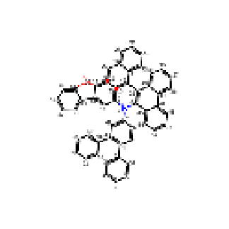 c1ccc(-c2ccc(N(c3ccc4oc5ccccc5c4c3)c3c(-c4cccc5ccccc45)c4ccccc4c4ccccc34)cc2-c2ccccc2)cc1